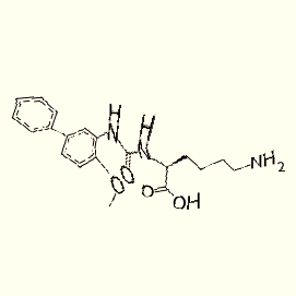 COc1ccc(-c2ccccc2)cc1NC(=O)N[C@@H](CCCCN)C(=O)O